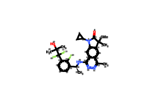 COC1(C)C(=O)N(C2CC2)c2cc3c(N[C@H](C)c4cccc(C(F)(F)C(C)(C)O)c4F)nnc(C)c3cc21